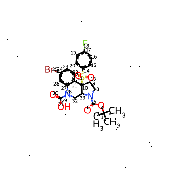 CC(C)(C)OC(=O)N1CCC2(S(=O)(=O)c3ccc(F)cc3)c3ccc(Br)cc3N(C(=O)O)CC12